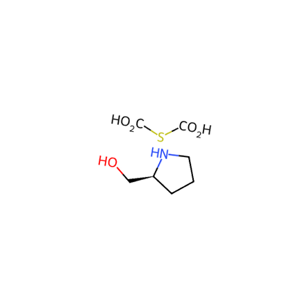 O=C(O)SC(=O)O.OC[C@@H]1CCCN1